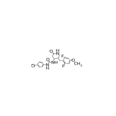 COc1cc(F)c(CC2CNC(=O)CC2NC(=O)Nc2ccc(Cl)cc2)c(F)c1